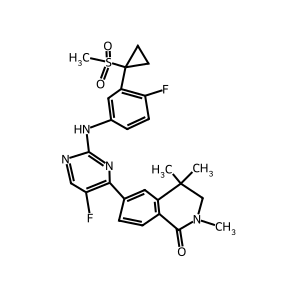 CN1CC(C)(C)c2cc(-c3nc(Nc4ccc(F)c(C5(S(C)(=O)=O)CC5)c4)ncc3F)ccc2C1=O